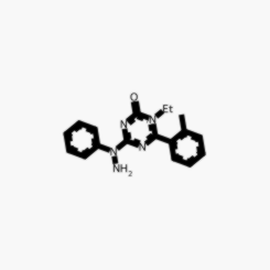 CCn1c(-c2ccccc2C)nc(N(N)c2ccccc2)nc1=O